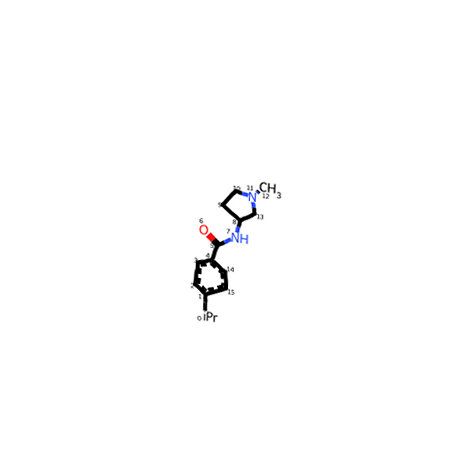 CC(C)c1ccc(C(=O)NC2CCN(C)C2)cc1